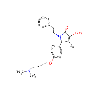 CC(=O)C1=C(O)C(=O)N(CCc2ccccc2)C1c1ccc(OCCCN(C)C)cc1